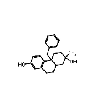 Oc1ccc2c(c1)CCC1CC(O)(C(F)(F)F)CCC21Cc1ccccc1